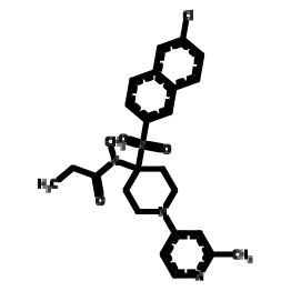 CCC(=O)N(C)C1(S(=O)(=O)c2ccc3cc(Cl)ccc3c2)CCN(c2ccnc(C)c2)CC1